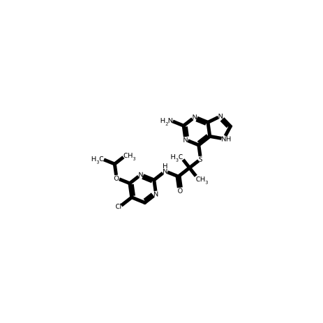 CC(C)Oc1nc(NC(=O)C(C)(C)Sc2nc(N)nc3nc[nH]c23)ncc1Cl